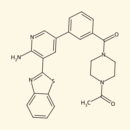 CC(=O)N1CCN(C(=O)c2cccc(-c3cnc(N)c(-c4nc5ccccc5s4)c3)c2)CC1